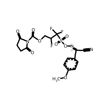 COc1ccc(/C(C#N)=N\OS(=O)(=O)C(F)(F)C(F)COC(=O)N2C(=O)CCC2=O)cc1